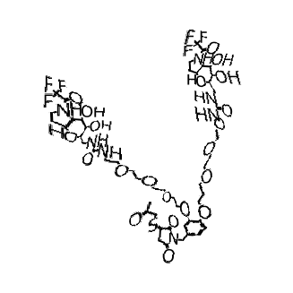 CC(=O)CSC1CC(=O)N(Cc2ccc(OCCCOCCOCCONC(=O)NC[C@H]3O[C@H]4CCN(C(=O)C(F)(F)F)[C@H]4[C@@H](O)[C@H]3O)c(OCCOCCOCCOCCNC(=O)NC[C@H]3O[C@H]4CCN(C(=O)C(F)(F)F)[C@H]4[C@@H](O)[C@H]3O)c2)C1=O